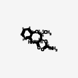 C[C@H]1Oc2cccnc2NC(=O)[C@H]1OC(N)=O